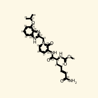 COC(=O)N[C@@H](CC/C=C/C(N)=O)C(=O)Nc1cccn(Cc2nc3c(OC(C)C)cccc3[nH]2)c1=O